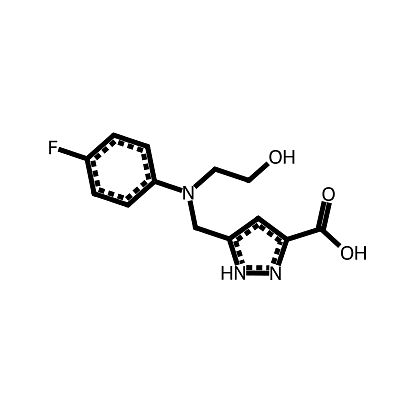 O=C(O)c1cc(CN(CCO)c2ccc(F)cc2)[nH]n1